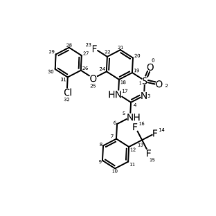 O=S1(=O)N=C(NCc2ccccc2C(F)(F)F)Nc2c1ccc(F)c2Oc1ccccc1Cl